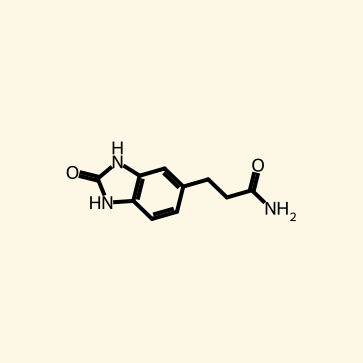 NC(=O)CCc1ccc2[nH]c(=O)[nH]c2c1